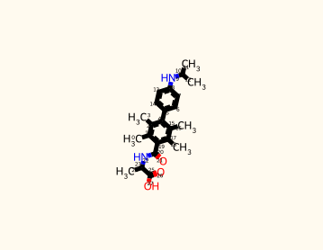 Cc1c(C)c(-c2ccc(NC(C)C)cc2)c(C)c(C)c1C(=O)NC(C)C(=O)O